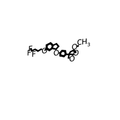 CCOC(=O)CC1(c2ccc(OC3CCc4ccc(OCCCC(F)(F)F)cc43)cc2)COC1